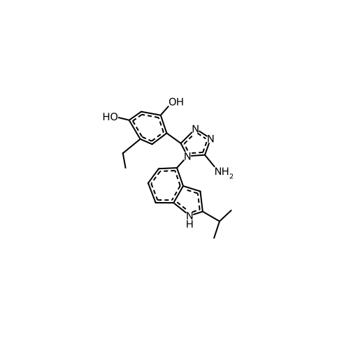 CCc1cc(-c2nnc(N)n2-c2cccc3[nH]c(C(C)C)cc23)c(O)cc1O